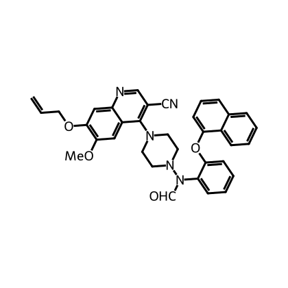 C=CCOc1cc2ncc(C#N)c(N3CCN(N(C=O)c4ccccc4Oc4cccc5ccccc45)CC3)c2cc1OC